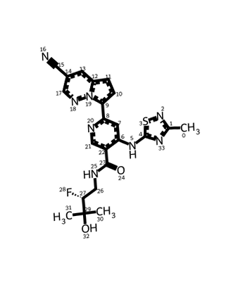 Cc1nsc(Nc2cc(-c3ccc4cc(C#N)cnn34)ncc2C(=O)NC[C@@H](F)C(C)(C)O)n1